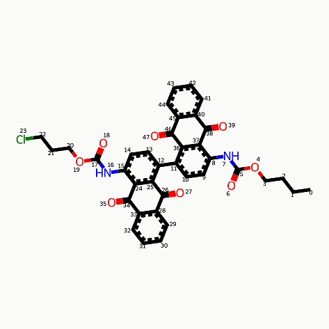 CCCCOC(=O)Nc1ccc(-c2ccc(NC(=O)OCCCCl)c3c2C(=O)c2ccccc2C3=O)c2c1C(=O)c1ccccc1C2=O